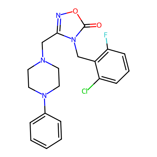 O=c1onc(CN2CCN(c3ccccc3)CC2)n1Cc1c(F)cccc1Cl